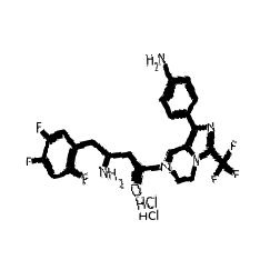 Cl.Cl.Nc1ccc(-c2nc(C(F)(F)F)n3c2CN(C(=O)CC(N)Cc2cc(F)c(F)cc2F)CC3)cc1